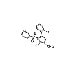 O=Cc1cc(-c2ccccc2F)n(S(=O)(=O)c2cccnc2)c1Cl